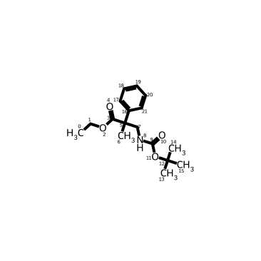 CCOC(=O)C(C)(CNC(=O)OC(C)(C)C)c1ccccc1